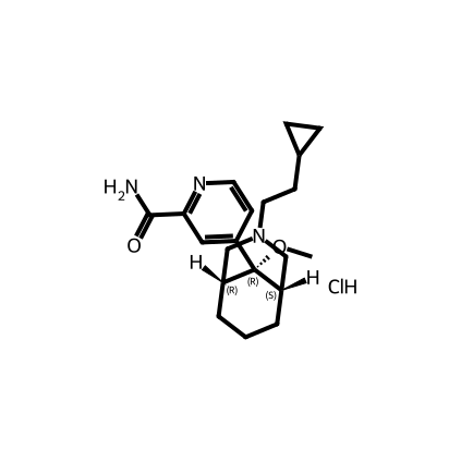 CO[C@@]1(c2ccnc(C(N)=O)c2)[C@@H]2CCC[C@H]1CN(CCC1CC1)C2.Cl